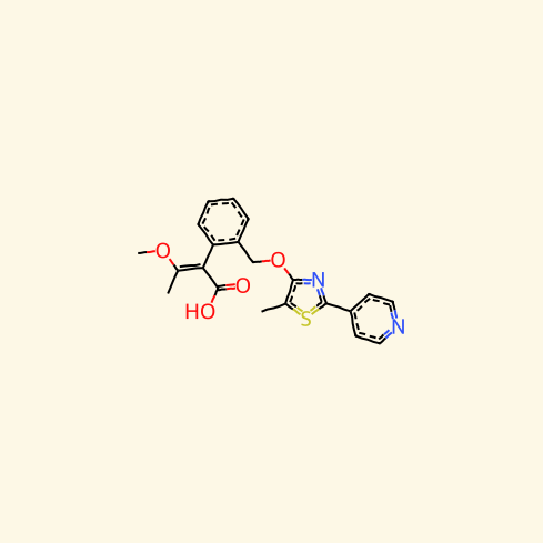 COC(C)=C(C(=O)O)c1ccccc1COc1nc(-c2ccncc2)sc1C